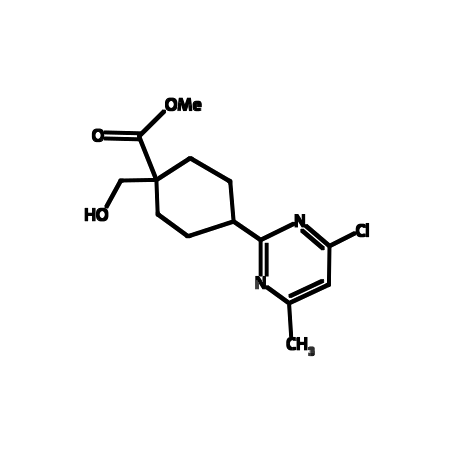 COC(=O)C1(CO)CCC(c2nc(C)cc(Cl)n2)CC1